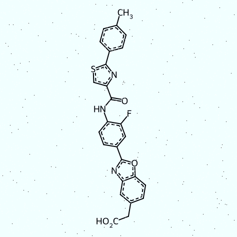 Cc1ccc(-c2nc(C(=O)Nc3ccc(-c4nc5cc(CC(=O)O)ccc5o4)cc3F)cs2)cc1